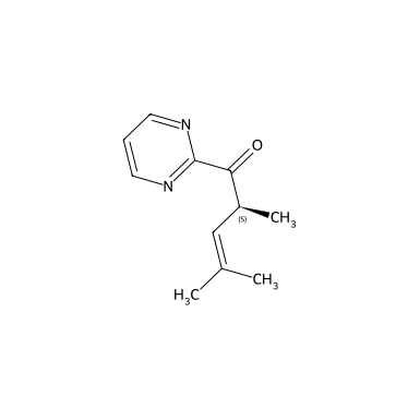 CC(C)=C[C@H](C)C(=O)c1ncccn1